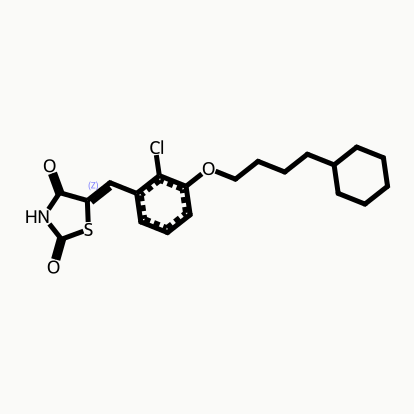 O=C1NC(=O)/C(=C/c2cccc(OCCCCC3CCCCC3)c2Cl)S1